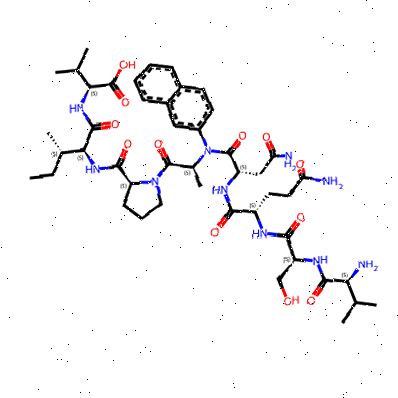 CC[C@H](C)[C@H](NC(=O)[C@@H]1CCCN1C(=O)[C@H](C)N(C(=O)[C@H](CC(N)=O)NC(=O)[C@H](CCC(N)=O)NC(=O)[C@H](CO)NC(=O)[C@@H](N)C(C)C)c1ccc2ccccc2c1)C(=O)N[C@H](C(=O)O)C(C)C